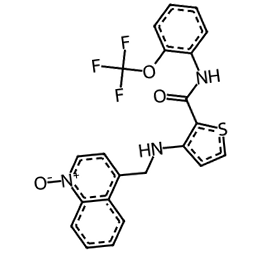 O=C(Nc1ccccc1OC(F)(F)F)c1sccc1NCc1cc[n+]([O-])c2ccccc12